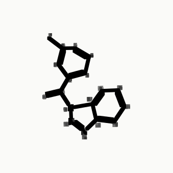 C=C(c1cccc(C)c1)n1nnc2ccccc21